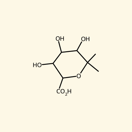 CC1(C)OC(C(=O)O)C(O)C(O)C1O